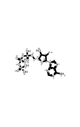 Nc1ncnc2c1ncn2[C@@H]1O[C@H](COP(=O)(O)OP(=O)(O)OP(=O)(O)O)C(O)C1F